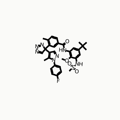 COc1c(NC(=O)c2ccc(C)c(C3(c4cnn(-c5ccc(F)cc5)c4C)C=NN=N3)c2)cc(C(C)(C)C)cc1NS(C)(=O)=O